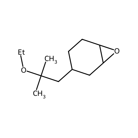 CCOC(C)(C)CC1CCC2OC2C1